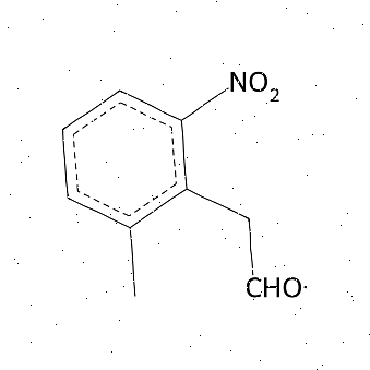 Cc1cccc([N+](=O)[O-])c1C[C]=O